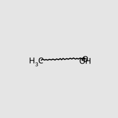 CCCCCCCCCCCCCCCCCCCCCCCCC(O)C=O